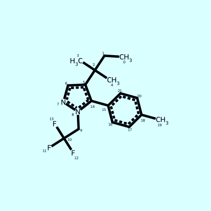 CCC(C)(C)c1cnn(CC(F)(F)F)c1-c1ccc(C)cc1